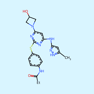 CCC(=O)Nc1ccc(Sc2nc(Nc3cc(C)[nH]n3)cc(N3CC(O)C3)n2)cc1